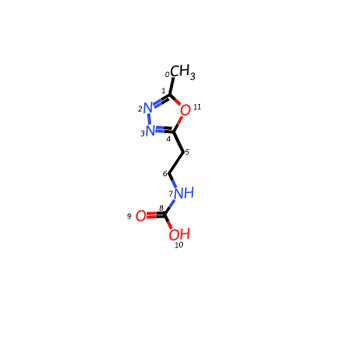 Cc1nnc(CCNC(=O)O)o1